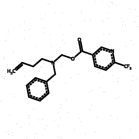 C=CCCN(COC(=O)c1ccc(C(F)(F)F)nc1)Cc1ccccc1